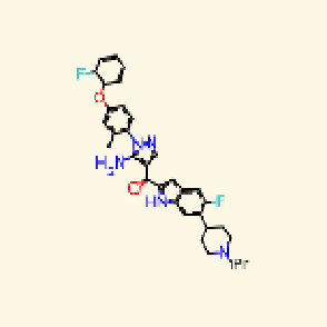 Cc1cc(OC2C=CC=CC2F)ccc1-n1ncc(C(=O)c2cc3cc(F)c(C4CCN(C(C)C)CC4)cc3[nH]2)c1N